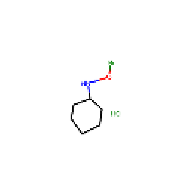 BrONC1CCCCC1.Cl